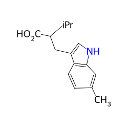 Cc1ccc2c(CC(C(=O)O)C(C)C)c[nH]c2c1